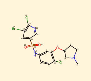 CN1CCC(Oc2cc(NS(=O)(=O)c3cnc(Cl)c(Br)c3)ccc2Cl)C1